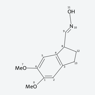 COc1cc2c(cc1OC)C(C=NO)CC2